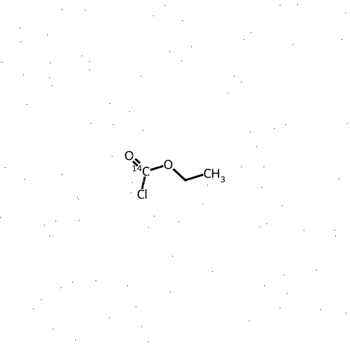 CCO[14C](=O)Cl